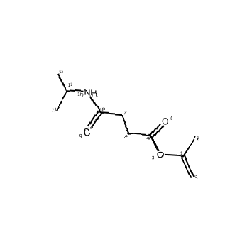 C=C(C)OC(=O)CCC(=O)NC(C)C